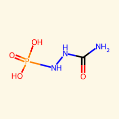 NC(=O)NNP(=O)(O)O